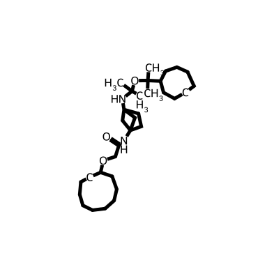 CC(C)(NC12CCC(NC(=O)COC3CCCCCCCCC3)(C1)C2)OC(C)(C)C1CCCCCCC1